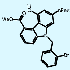 CCCCCc1cc(O)c2c3c(C(=O)OC)cccc3n(Cc3ccccc3Br)c2c1